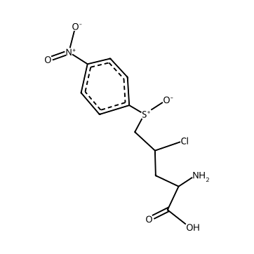 NC(CC(Cl)C[S+]([O-])c1ccc([N+](=O)[O-])cc1)C(=O)O